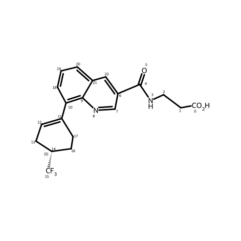 O=C(O)CCNC(=O)c1cnc2c(C3=CC[C@@H](C(F)(F)F)CC3)cccc2c1